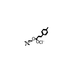 Cc1ccc(C=CC(=O)OCC[N+](C)(C)C)cc1.[Cl-]